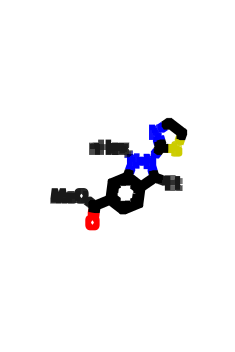 CCCCCCN1c2cc(C(=O)OC)ccc2C(CC)N1C1=NCCS1